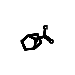 O=C(Cl)N1C2CCC1CC2